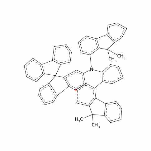 CC1(C)c2ccccc2-c2c(-c3ccccc3N(c3ccc4c(c3)C3(c5ccccc5-c5ccccc53)c3ccccc3-4)c3cccc4c3C(C)(C)c3ccccc3-4)cccc21